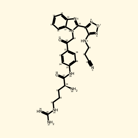 N#CCCNc1nonc1-c1nc2ccccc2n1CC(=O)c1ccc(NC(=O)[C@@H](N)CCCNC(=N)N)cc1